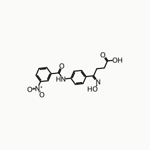 O=C(O)CC/C(=N/O)c1ccc(NC(=O)c2cccc([N+](=O)[O-])c2)cc1